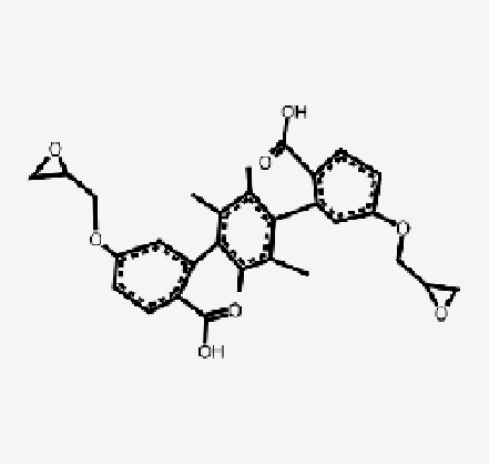 Cc1c(C)c(-c2cc(OCC3CO3)ccc2C(=O)O)c(C)c(C)c1-c1cc(OCC2CO2)ccc1C(=O)O